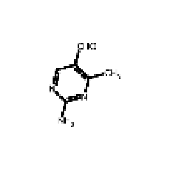 Cc1nc(N)ncc1C=O